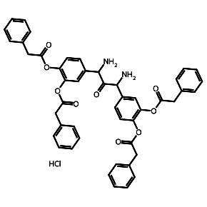 Cl.NC(C(=O)C(N)c1ccc(OC(=O)Cc2ccccc2)c(OC(=O)Cc2ccccc2)c1)c1ccc(OC(=O)Cc2ccccc2)c(OC(=O)Cc2ccccc2)c1